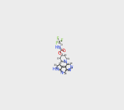 O=C(NCC(F)(F)F)OC1CCN(c2cnnc3cnc4[nH]ccc4c23)CC1